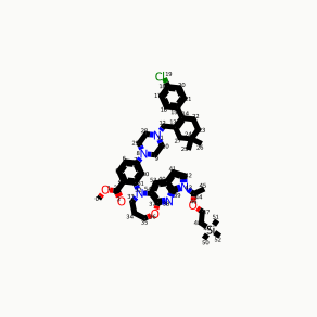 COC(=O)c1ccc(N2CCN(CC3=C(c4ccc(Cl)cc4)CCC(C)(C)C3)CC2)cc1N1CCCOc2nc3c(ccn3C(C)OCC[Si](C)(C)C)cc21